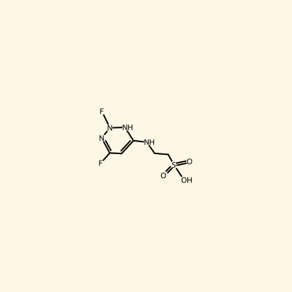 O=S(=O)(O)CCNC1=CC(F)=NN(F)N1